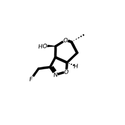 C[C@@H]1C[C@H]2ON=C(CF)C2[C@@H](O)O1